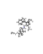 CC(C)CCNS(=O)(=O)NC(=O)/C=C/c1c(C2CC2)nn(C)c1-n1ccc2cccnc21